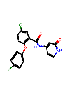 O=C(Nc1cc[nH]c(=O)c1)c1cc(Cl)ccc1Oc1ccc(F)cc1